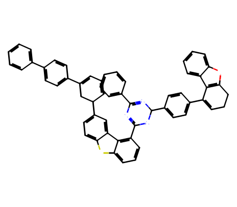 C1=CC(c2ccc3sc4cccc(C5=NC(c6ccccc6)=NC(c6ccc(C7=CCCc8oc9ccccc9c87)cc6)N5)c4c3c2)CC(c2ccc(-c3ccccc3)cc2)=C1